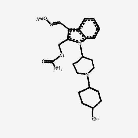 CON=Cc1c(COC(N)=O)n(C2CCN(C3CCC(C(C)(C)C)CC3)CC2)c2ccccc12